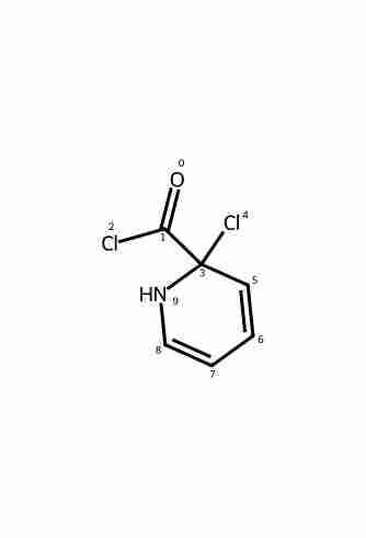 O=C(Cl)C1(Cl)C=CC=CN1